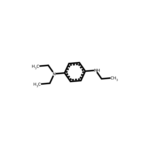 CCNc1ccc(N(CC)CC)cc1